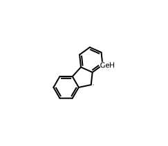 [CH]1[C]2=[GeH][CH]=CC=C2c2ccccc21